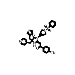 N#Cc1ccc(C(=O)C=C2NC(Cc3ccncc3)(Cc3ccsc3)C(=O)N2C2C3CN(S(=O)(=O)c4ccccc4)CC32)cc1